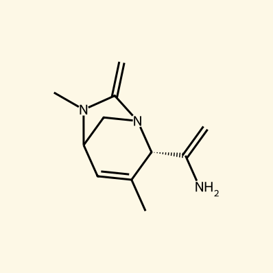 C=C(N)[C@@H]1C(C)=CC2CN1C(=C)N2C